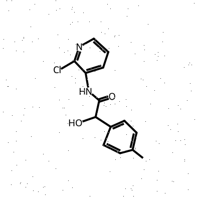 Cc1ccc(C(O)C(=O)Nc2cccnc2Cl)cc1